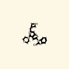 CCc1nc2ccccc2n1-c1cc2c(N3CCOCC3)nc(CC3CNC3)cc2s1